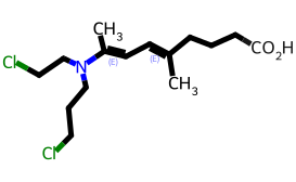 C/C(=C\C=C(/C)N(CCCl)CCCCl)CCCC(=O)O